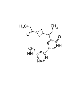 C=CC(=O)N1CC(N(CC)c2cc(-c3cc(NC)ncn3)c[nH]c2=O)C1